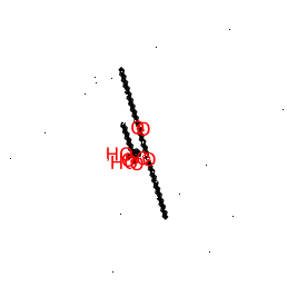 CCCCCCCCCCCCCCCCCCCCOC(=O)CCCCCCCCC(=O)OCCCCCCCCCCCCCCCCCCCC.CCCCCCCCCCc1cccc(C(=O)O)c1C(=O)O